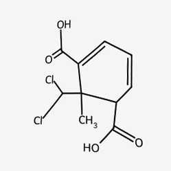 CC1(C(Cl)Cl)C(C(=O)O)=CC=CC1C(=O)O